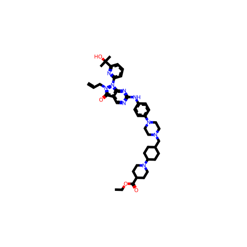 C=CCn1c(=O)c2cnc(Nc3ccc(N4CCN(CC5CCC(N6CCC(C(=O)OCC)CC6)CC5)CC4)cc3)nc2n1-c1cccc(C(C)(C)O)n1